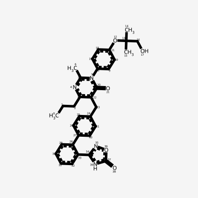 CCCc1nc(C)n(-c2ccc(OC(C)(C)CO)cc2)c(=O)c1Cc1ccc(-c2ccccc2-c2noc(=O)[nH]2)cc1